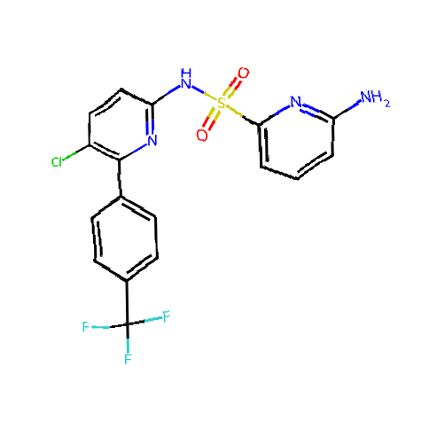 Nc1cccc(S(=O)(=O)Nc2ccc(Cl)c(-c3ccc(C(F)(F)F)cc3)n2)n1